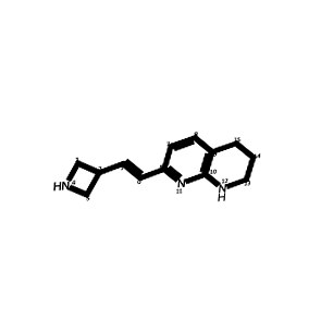 C(=C\C1CNC1)/c1ccc2c(n1)NCCC2